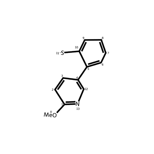 COc1ccc(-c2ccccc2[S])cn1